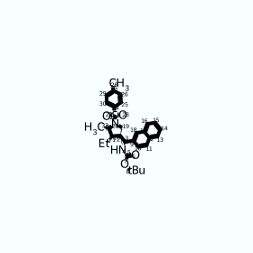 CC[C@@H]1[C@@H]([C@@H](NC(=O)OC(C)(C)C)c2ccc3ccccc3c2)CN(S(=O)(=O)c2ccc(C)cc2)[C@@H]1C